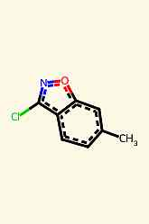 Cc1ccc2c(Cl)noc2c1